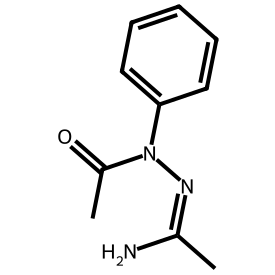 CC(=O)N(N=C(C)N)c1ccccc1